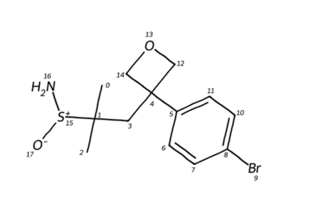 CC(C)(CC1(c2ccc(Br)cc2)COC1)[S+](N)[O-]